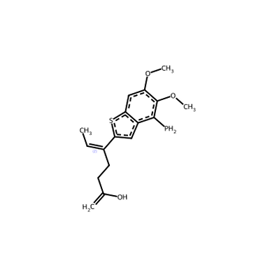 C=C(O)CC/C(=C/C)c1cc2c(P)c(OC)c(OC)cc2s1